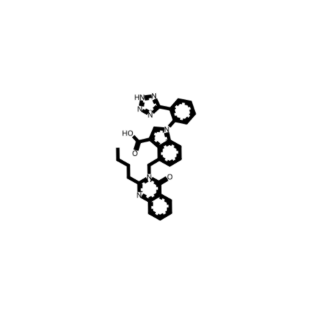 CCCCc1nc2ccccc2c(=O)n1Cc1cccc2c1c(C(=O)O)cn2-c1ccccc1-c1nn[nH]n1